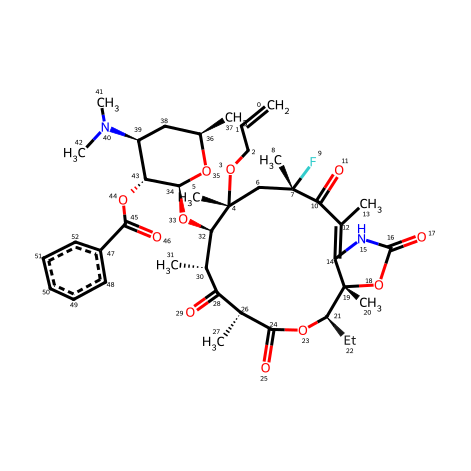 C=CCO[C@]1(C)C[C@](C)(F)C(=O)/C(C)=C2\NC(=O)O[C@]2(C)[C@@H](CC)OC(=O)[C@H](C)C(=O)[C@H](C)[C@H]1O[C@@H]1O[C@H](C)C[C@H](N(C)C)[C@H]1OC(=O)c1ccccc1